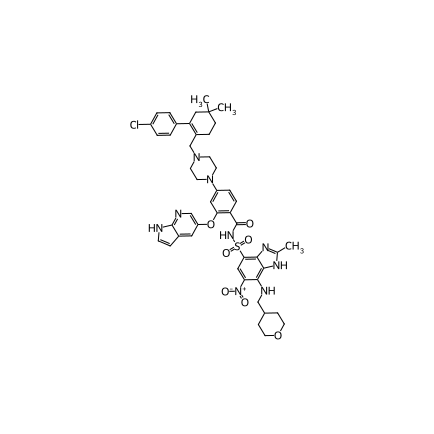 Cc1nc2c(S(=O)(=O)NC(=O)c3ccc(N4CCN(CC5=C(c6ccc(Cl)cc6)CC(C)(C)CC5)CC4)cc3Oc3cnc4[nH]ccc4c3)cc([N+](=O)[O-])c(NCC3CCOCC3)c2[nH]1